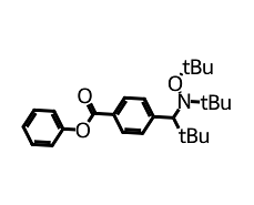 CC(C)(C)ON(C(c1ccc(C(=O)Oc2ccccc2)cc1)C(C)(C)C)C(C)(C)C